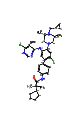 CNc1c(Cl)ncnc1Nc1cc(-c2ccc(NC(=O)C(C)(C)C3CCCC3)cc2)c(F)cc1N1C[C@H](C)N(CC2CC2)[C@@H](C)C1